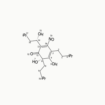 CC(C)CCC1=C(O)[C@@](O)(CCC(C)C)C(=O)C([C@@H](O)CC(C)C)=C1N=O